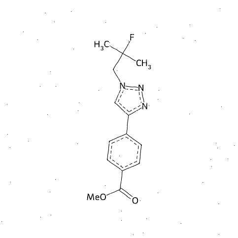 COC(=O)c1ccc(-c2cn(CC(C)(C)F)nn2)cc1